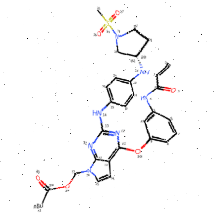 C=CC(=O)Nc1cccc(Oc2nc(Nc3ccc(N[C@H]4CCN(S(C)(=O)=O)C4)cc3)nc3c2ccn3COC(=O)CCCC)c1